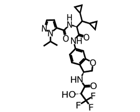 CC(C)n1nccc1C(=O)N[C@H](C(=O)Nc1ccc2c(c1)OC[C@H]2NC(=O)[C@@H](O)C(F)(F)F)C(C1CC1)C1CC1